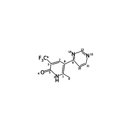 Cc1[nH]c(=O)c(C(F)(F)F)cc1-c1ccncn1